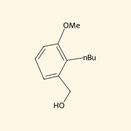 CCCCc1c(CO)cccc1OC